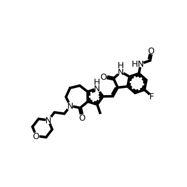 Cc1c(C=C2C(=O)Nc3c(NC=O)cc(F)cc32)[nH]c2c1C(=O)N(CCN1CCOCC1)CCC2